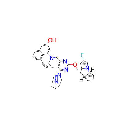 C#Cc1cccc2cc(O)cc(N3CCc4c(nc(OCC56C[C@@H](F)CN5[C@@H]5CCC[C@@H]5C6)nc4N4CC5CCC(C4)N5)C3)c12